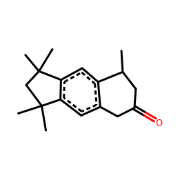 CC1CC(=O)Cc2cc3c(cc21)C(C)(C)CC3(C)C